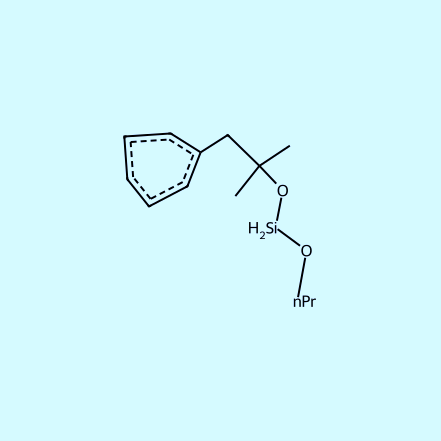 CCCO[SiH2]OC(C)(C)Cc1ccccc1